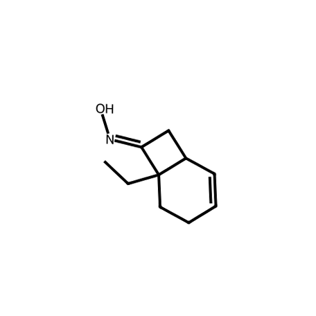 CCC12CCC=CC1C/C2=N\O